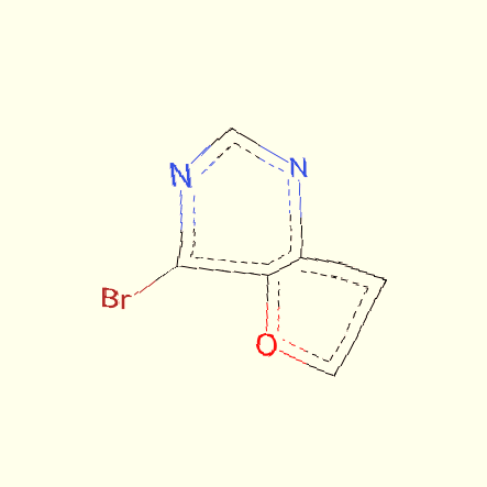 Brc1ncnc2ccoc12